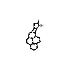 Cc1cc2c3cc4ccc5cccc6ccc(c3c2[nH]1)c4c56